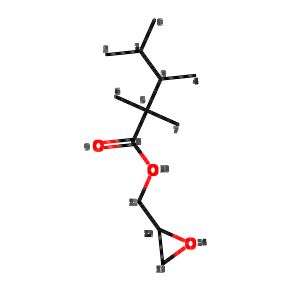 CC(C)C(C)C(C)(C)C(=O)OCC1CO1